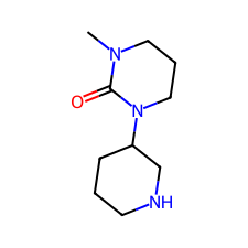 CN1CCCN(C2CCCNC2)C1=O